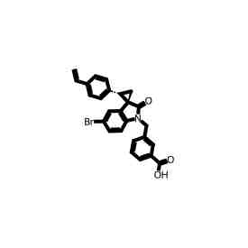 C=Cc1ccc([C@@H]2C[C@]23C(=O)N(Cc2cccc(C(=O)O)c2)c2ccc(Br)cc23)cc1